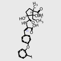 CCC1(C)[C@@](C)(C(=O)O)CC[C@]1(O)C(=O)N/C(=C/c1ccc(Oc2ccccc2I)cc1)C(=O)O